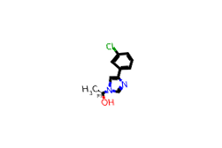 C[C@@H](O)n1cnc(-c2cccc(Cl)c2)c1